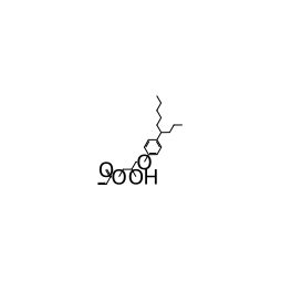 C=CC(=O)OCC(O)COc1ccc(C(CCC)CCCCC)cc1